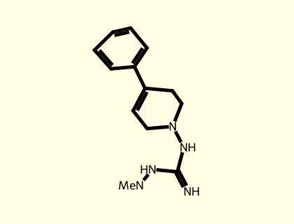 CNNC(=N)NN1CC=C(c2ccccc2)CC1